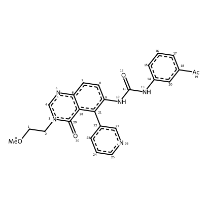 COCCn1cnc2ccc(NC(=O)Nc3cccc(C(C)=O)c3)c(-c3cccnc3)c2c1=O